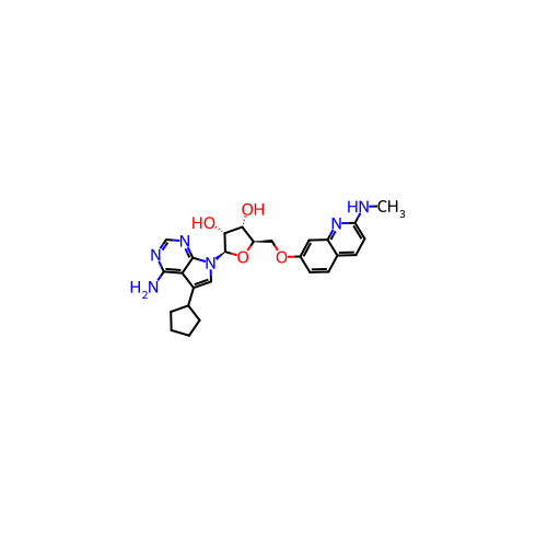 CNc1ccc2ccc(OC[C@H]3O[C@@H](n4cc(C5CCCC5)c5c(N)ncnc54)[C@H](O)[C@@H]3O)cc2n1